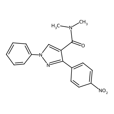 CN(C)C(=O)c1cn(-c2ccccc2)nc1-c1ccc([N+](=O)[O-])cc1